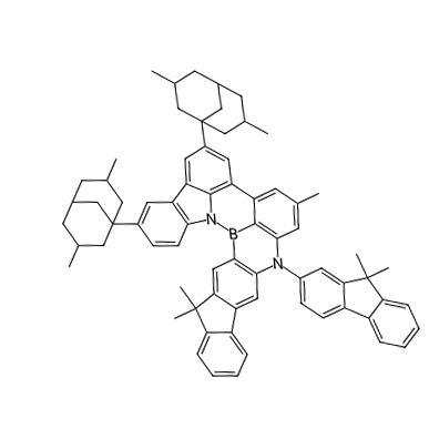 Cc1cc2c3c(c1)N(c1ccc4c(c1)C(C)(C)c1ccccc1-4)c1cc4c(cc1B3n1c3ccc(C56CC(C)CC(CC(C)C5)C6)cc3c3cc(C56CC(C)CC(CC(C)C5)C6)cc-2c31)C(C)(C)c1ccccc1-4